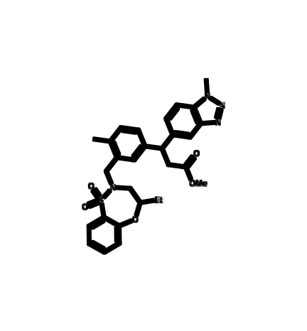 CCC1CN(Cc2cc(C(CC(=O)OC)c3ccc4c(c3)nnn4C)ccc2C)S(=O)(=O)c2ccccc2O1